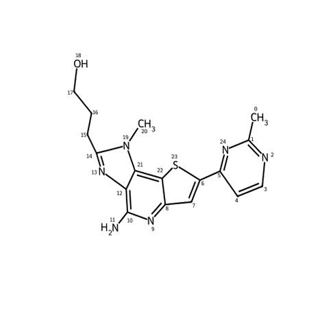 Cc1nccc(-c2cc3nc(N)c4nc(CCCO)n(C)c4c3s2)n1